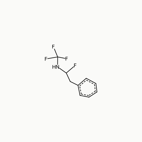 FC(Cc1ccccc1)NC(F)(F)F